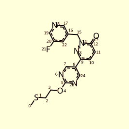 CSCCOc1ncc(-c2ccc(=O)n(Cc3cncc(F)c3)n2)cn1